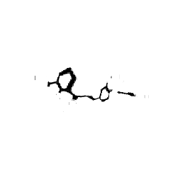 C#CCOc1ccc(C=CC(=O)c2cccc(C(=O)O)c2N)cc1OC